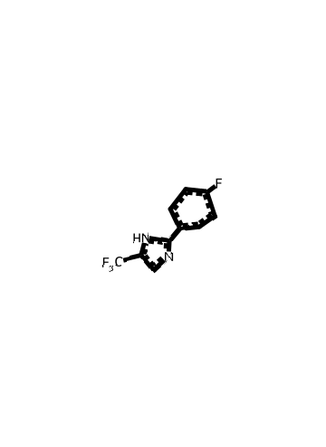 Fc1ccc(-c2ncc(C(F)(F)F)[nH]2)cc1